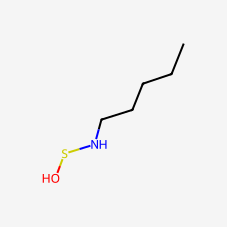 CCCCCNSO